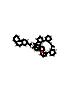 C=C1Cc2ccccc2-c2cccc(-c3nc(-c4ccc5c(ccc6ccccc65)c4)nnc3-c3ccccc3)c2-c2ccccc2-c2cccc(c2C)-c2ccccc21